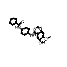 COc1cc2ncnc(Nc3ccc(NC(=O)c4ccccc4)cc3)c2cc1O